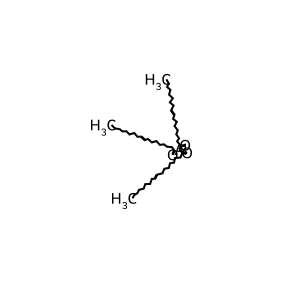 CCCCCCCCC=CCCCCCCC[C](=O)[Al]([C](=O)CCCCCCCC=CCCCCCCCC)[C](=O)CCCCCCCC=CCCCCCCCC